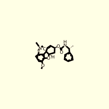 COc1ccc2c3c1O[C@@H]1C[C@H](OC(=O)N[C@H](C)c4ccccc4)C=C[C@]31CCN(C)C2